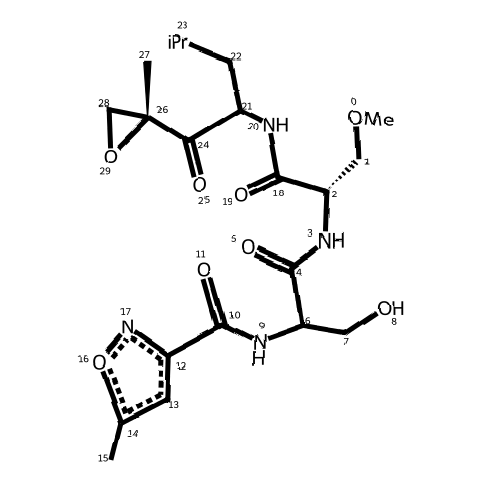 COC[C@H](NC(=O)C(CO)NC(=O)c1cc(C)on1)C(=O)NC(CC(C)C)C(=O)[C@@]1(C)CO1